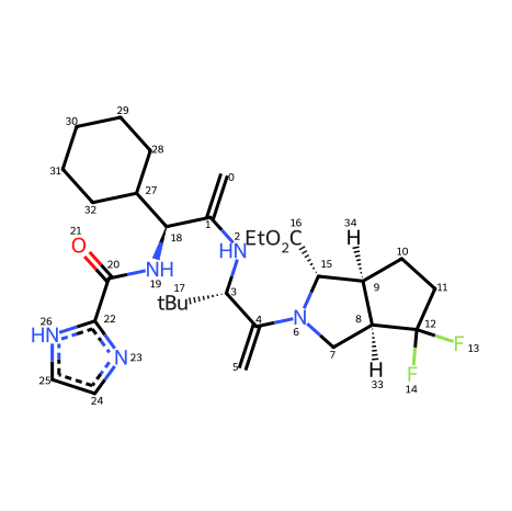 C=C(N[C@H](C(=C)N1C[C@H]2[C@H](CCC2(F)F)[C@H]1C(=O)OCC)C(C)(C)C)[C@@H](NC(=O)c1ncc[nH]1)C1CCCCC1